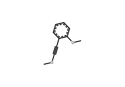 COC#Cc1ccccc1OC